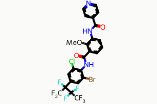 COc1c(NC(=O)c2ccncc2)cccc1C(=O)Nc1c(Cl)cc(C(F)(C(F)(F)F)C(F)(F)C(F)(F)F)cc1Br